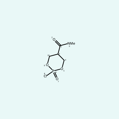 CNC(=O)C1COP(=O)(Cl)OC1